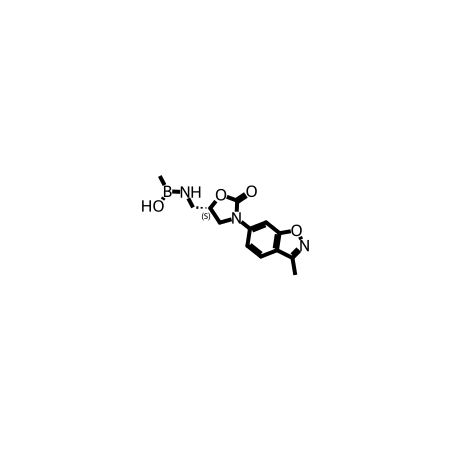 CB(O)NC[C@H]1CN(c2ccc3c(C)noc3c2)C(=O)O1